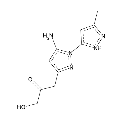 Cc1cc(-n2nc(CC(=O)CO)cc2N)[nH]n1